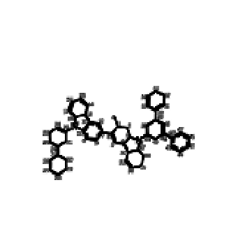 CC1CC2C(C=C1c1ccc3c(c1)C1C=CC=CC1N3C1=CCCC(C3C=CCCC3)C1)C1C=CCCC1N2C1CC(c2ccccc2)=CC(C2=CCCC=C2)C1